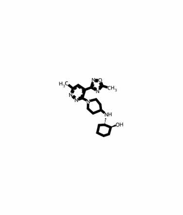 Cc1cc(-c2noc(C)n2)c(N2CCC(N[C@H]3CCCC[C@@H]3O)CC2)nn1